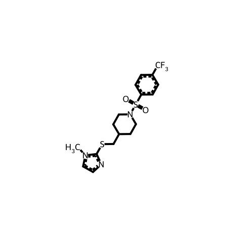 Cn1ccnc1SCC1CCN(S(=O)(=O)c2ccc(C(F)(F)F)cc2)CC1